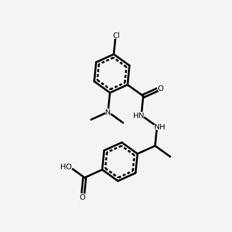 CC(NNC(=O)c1cc(Cl)ccc1N(C)C)c1ccc(C(=O)O)cc1